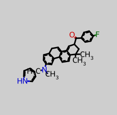 C1=CC=CNC=C1.CN(C)c1ccc2c(c1)-c1ccc3c(c1=CC2)=CC(C(=O)c1ccc(F)cc1)CC3(C)C